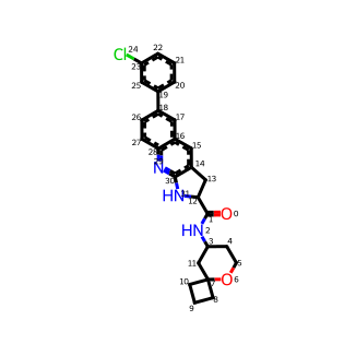 O=C(NC1CCOC2(CCC2)C1)C1Cc2cc3cc(-c4cccc(Cl)c4)ccc3nc2N1